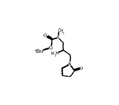 CN(CC(N)CN1CCCC1=O)C(=O)OC(C)(C)C